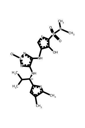 Cc1cc([C@H](Nc2n[s+]([O-])nc2Nc2csc(S(=O)(=O)N(C)C)c2O)C(C)C)sc1C